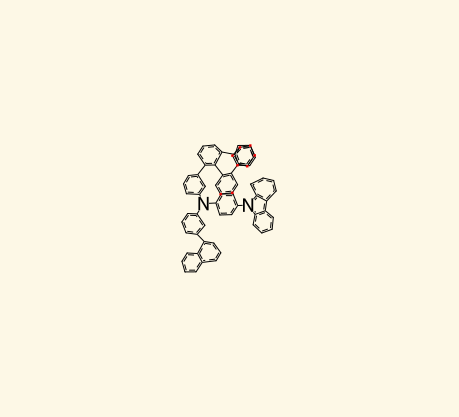 c1ccc(-c2ccccc2-c2c(-c3ccccc3)cccc2-c2cccc(N(c3ccc(-n4c5ccccc5c5ccccc54)cc3)c3cccc(-c4cccc5ccccc45)c3)c2)cc1